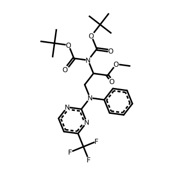 COC(=O)C(CN(c1ccccc1)c1nccc(C(F)(F)F)n1)N(C(=O)OC(C)(C)C)C(=O)OC(C)(C)C